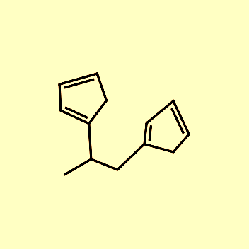 CC(CC1=CC=CC1)C1=CC=CC1